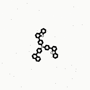 c1ccc2c(-c3ccc(N(c4ccc(-c5cccc6c5oc5ccccc56)cc4)c4ccc(-c5cccc6c5oc5ccccc56)cc4)cc3)cccc2c1